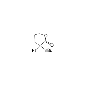 CCCCC1(CC)CCCOC1=O